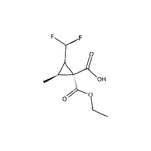 CCOC(=O)[C@@]1(C(=O)O)C(C(F)F)[C@@H]1C